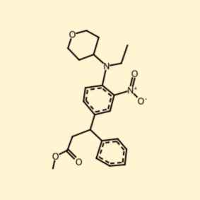 CCN(c1ccc(C(CC(=O)OC)c2ccccc2)cc1[N+](=O)[O-])C1CCOCC1